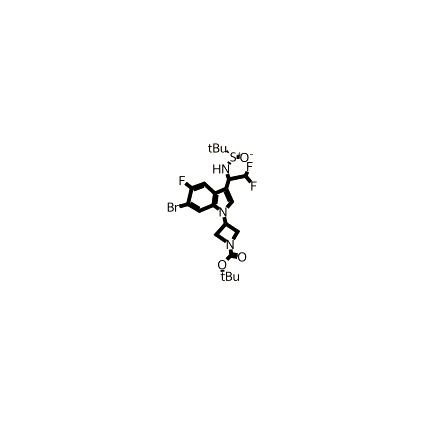 CC(C)(C)OC(=O)N1CC(n2cc(C(N[S@@+]([O-])C(C)(C)C)C(F)F)c3cc(F)c(Br)cc32)C1